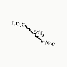 CCCCCCCCCCCCCCCCCCCCCC(=O)O.[SrH2]